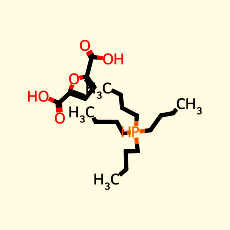 CCCC[PH](CCCC)(CCCC)CCCC.O=C(O)c1ccc(C(=O)O)o1